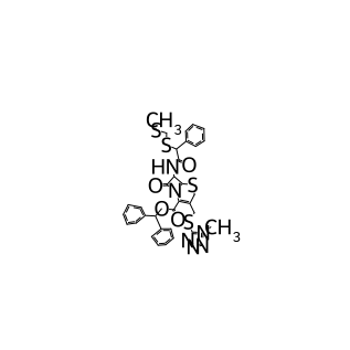 CSCSC(C(=O)NC1C(=O)N2C(C(=O)OC(c3ccccc3)c3ccccc3)=C(CSc3nnnn3C)CSC12)c1ccccc1